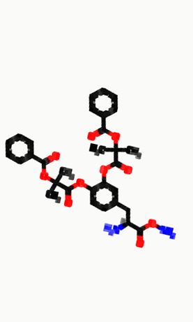 CC(C)(OC(=O)c1ccccc1)C(=O)Oc1ccc(C[C@H](N)C(=O)ON)cc1OC(=O)C(C)(C)OC(=O)c1ccccc1